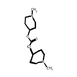 CN1CCC(OC(=O)OC2CCN(C)CC2)CC1